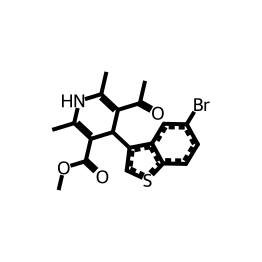 COC(=O)C1=C(C)NC(C)=C(C(C)=O)C1c1csc2ccc(Br)cc12